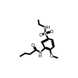 CCCC(=O)Nc1cc(S(=O)(=O)NCC)ccc1OC